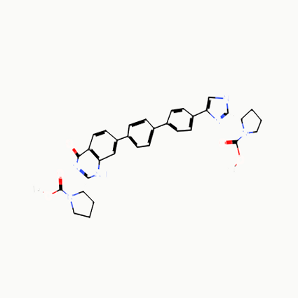 CC(C)(C)OC(=O)N1CCC[C@H]1c1nc(-c2ccc(-c3ccc(-c4ccc5c(=O)nc([C@@H]6CCCN6C(=O)OC(C)(C)C)[nH]c5c4)cc3)cc2)c[nH]1